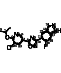 CC(C)Oc1ncc(-c2nc(-c3cc4cn[nH]c4cc3F)no2)cc1Cl